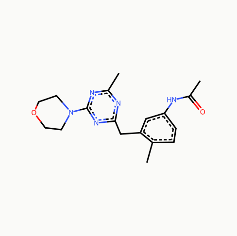 CC(=O)Nc1ccc(C)c(Cc2nc(C)nc(N3CCOCC3)n2)c1